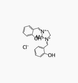 Oc1ccccc1C=[N+]1CC[N+](=Cc2ccccc2O)[Mn]1.[Cl-]